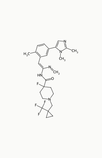 C=N/C(=C\c1cc(-c2cnc(C)n2C)ccc1C)NC(=O)C1(F)CCN(CC2(C(F)(F)F)CC2)CC1